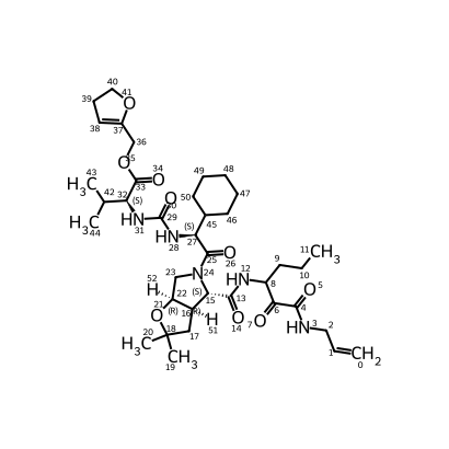 C=CCNC(=O)C(=O)C(CCC)NC(=O)[C@@H]1[C@H]2CC(C)(C)O[C@H]2CN1C(=O)[C@@H](NC(=O)N[C@H](C(=O)OCC1=CCCO1)C(C)C)C1CCCCC1